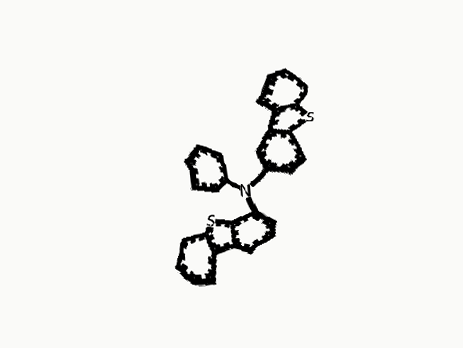 c1ccc(N(c2ccc3sc4ccccc4c3c2)c2cccc3c2sc2ccccc23)cc1